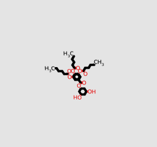 CCCCCC(=O)Oc1cc(C(=O)OC2CC(O)CC(O)C2)cc(OC(=O)CCCCC)c1OC(=O)CCCCC